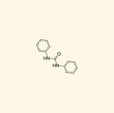 O=C(Nc1[c]cccc1)Nc1[c]cccc1